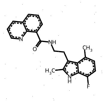 Cc1[nH]c2c(F)ccc(C)c2c1CCNC(=O)c1cccc2cccnc12